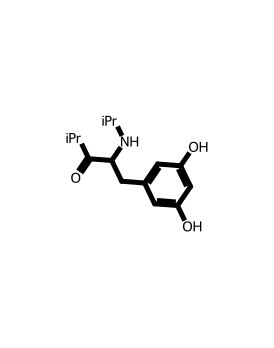 CC(C)NC(Cc1cc(O)cc(O)c1)C(=O)C(C)C